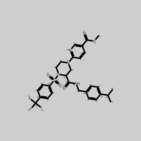 COC(=O)c1ccc(N2CCN(S(=O)(=O)c3ccc(C(F)(F)F)cc3)C(C(=O)NCc3ccc(C(C)C)cc3)C2)nc1